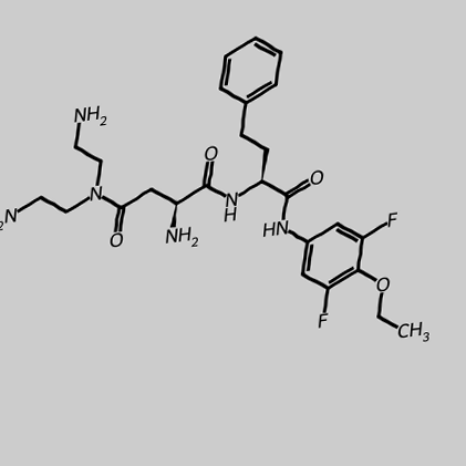 CCOc1c(F)cc(NC(=O)[C@H](CCc2ccccc2)NC(=O)[C@@H](N)CC(=O)N(CCN)CCN)cc1F